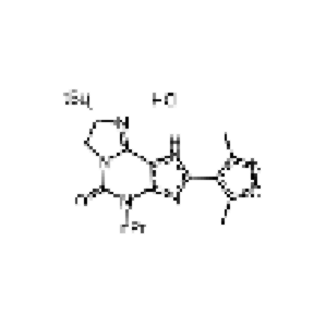 CCCN1C(=O)N2C[C@H](C(C)(C)C)N=C2c2[nH]c(-c3c(C)noc3C)nc21.Cl